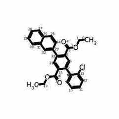 CCOC(=O)c1cc(-c2ccccc2Cl)c(C(=O)OCC)cc1-c1ccc2ccccc2c1